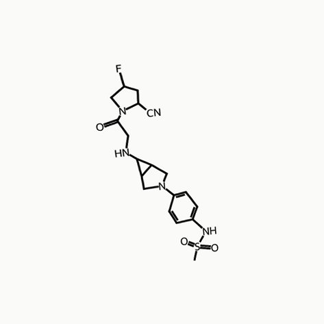 CS(=O)(=O)Nc1ccc(N2CC3C(C2)C3NCC(=O)N2CC(F)CC2C#N)cc1